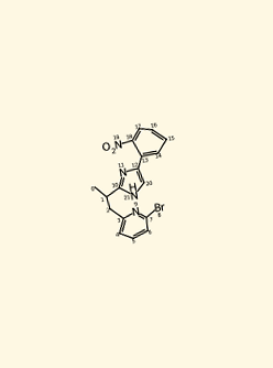 CC(Cc1cccc(Br)n1)c1nc(-c2ccccc2[N+](=O)[O-])c[nH]1